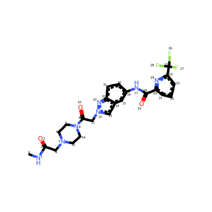 CNC(=O)CN1CCN(C(=O)Cn2cc3cc(NC(=O)c4cccc(C(F)(F)F)n4)ccc3n2)CC1